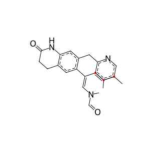 CC/C(C)=C/C(=C\N(C)C=O)c1cc2c(cc1Cc1ccccn1)NC(=O)CC2